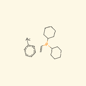 C=CP(C1CCCCC1)C1CCCCC1.CC(=O)c1ccccc1